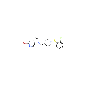 Fc1ccccc1SN1CCC(Cn2ccc3cc(Br)ncc32)CC1